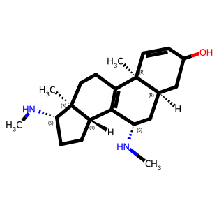 CN[C@H]1C[C@@H]2CC(O)C=C[C@]2(C)C2=C1[C@@H]1CC[C@H](NC)[C@@]1(C)CC2